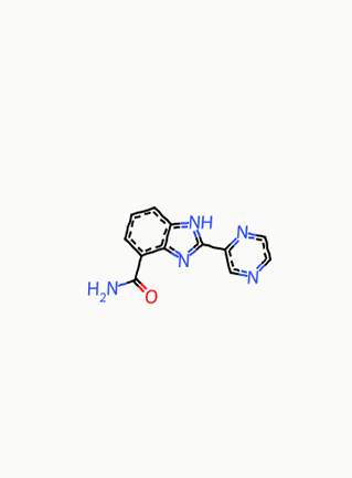 NC(=O)c1cccc2[nH]c(-c3cnccn3)nc12